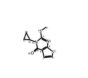 CSc1nc2sccc2c(=O)n1C1CC1